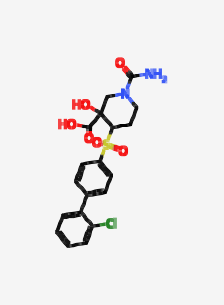 NC(=O)N1CCC(S(=O)(=O)c2ccc(-c3ccccc3Cl)cc2)C(O)(C(=O)O)C1